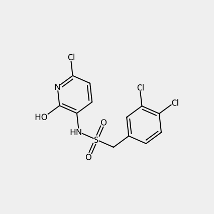 O=S(=O)(Cc1ccc(Cl)c(Cl)c1)Nc1ccc(Cl)nc1O